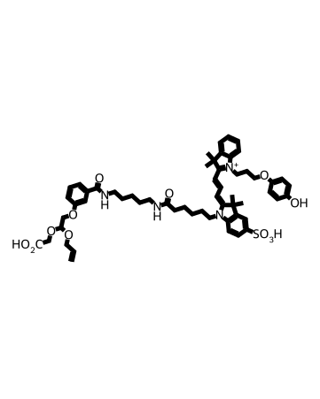 C=CCOC(COc1cccc(C(=O)NCCCCCNC(=O)CCCCCN2/C(=C/C=C/C3=[N+](CCCOc4ccc(O)cc4)c4ccccc4C3(C)C)C(C)(C)c3cc(S(=O)(=O)O)ccc32)c1)OCC(=O)O